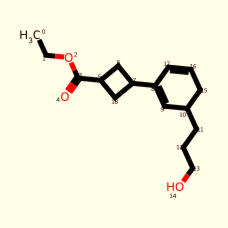 CCOC(=O)C1CC(C2=CC(CCCO)CC=C2)C1